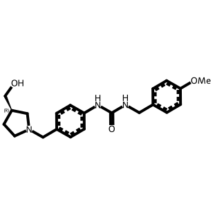 COc1ccc(CNC(=O)Nc2ccc(CN3CC[C@@H](CO)C3)cc2)cc1